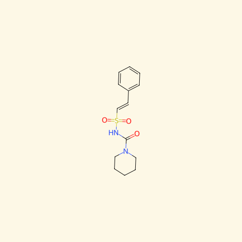 O=C(NS(=O)(=O)C=Cc1ccccc1)N1CCCCC1